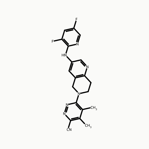 Cc1c(C#N)nnc(N2CCc3ncc(Nc4ncc(F)cc4F)cc3C2)c1C